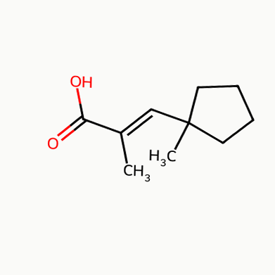 C/C(=C\C1(C)CCCC1)C(=O)O